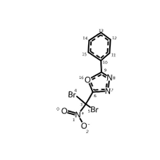 O=[N+]([O-])C(Br)(Br)c1nnc(-c2ccccc2)o1